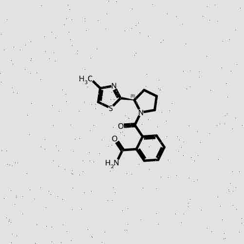 Cc1csc([C@H]2CCCN2C(=O)c2ccccc2C(N)=O)n1